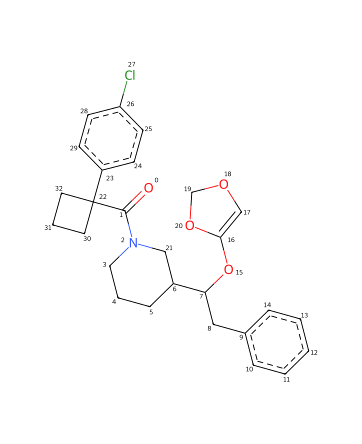 O=C(N1CCCC(C(Cc2ccccc2)OC2=COCO2)C1)C1(c2ccc(Cl)cc2)CCC1